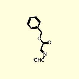 O=[C]N=CC(=O)OCc1ccccc1